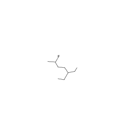 CCC(CC)CCC(C)F